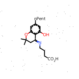 CCCCCc1cc(O)c2c(c1)OC(C)(C)CC2=NCCCC(=O)O